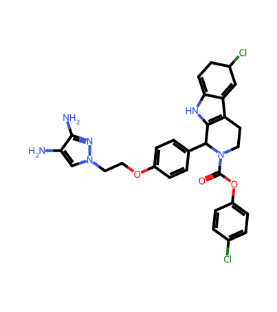 Nc1cn(CCOc2ccc(C3c4[nH]c5c(c4CCN3C(=O)Oc3ccc(Cl)cc3)=CC(Cl)CC=5)cc2)nc1N